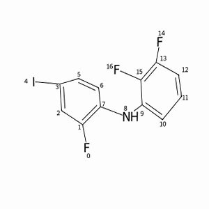 Fc1cc(I)ccc1Nc1cccc(F)c1F